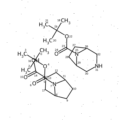 CC(C)(C)OC(=O)N1C2CCC1CN(C(=O)O)C2.CC(C)(C)OC(=O)N1C2CCC1CNC2